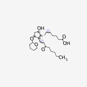 CCCCCC(=O)/C=C/[C@@H]1[C@@H](C/C=C\CCCC(=O)O)[C@@H](O)C[C@H]1OC1CCCCO1